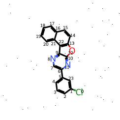 Clc1cccc(-c2cnc3c(n2)oc2ccc4ccccc4c23)c1